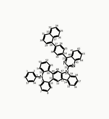 c1ccc(N2c3ccccc3-c3cc4c5ccccc5n(-c5nc(-c6ccc(-c7cccc8ccccc78)cc6)c6ccccc6n5)c4cc3-c3ccccc32)cc1